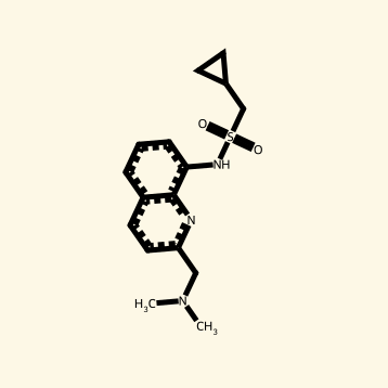 CN(C)Cc1ccc2cccc(NS(=O)(=O)CC3CC3)c2n1